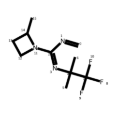 C=N/C(=N\C(C)(C)C(F)(F)F)N1CCC1C